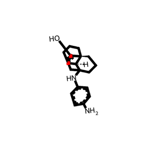 Nc1ccc(NC23CCC[C@]4(CCCC[C@H]24)c2cc(O)ccc2C3)cc1